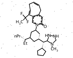 CCC[C@@H](CC)C1CC(n2cc3c(cc2=O)C/C=C\C/C=C/3C(C)(F)F)C[C@H]([C@@H](C2CCCC2)C2NNCN2C)C1